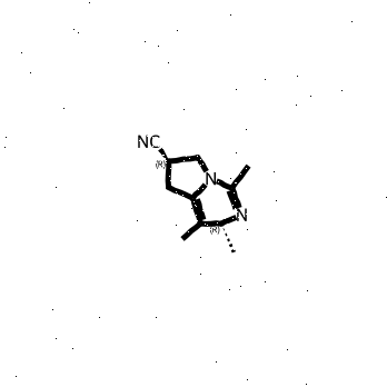 CC1=N[C@H](C)C(C)=C2C[C@@H](C#N)CN12